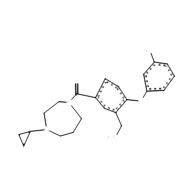 CNCc1cc(C(=O)N2CCCN(C3CC3)CC2)ccc1Oc1cccc(C#N)c1